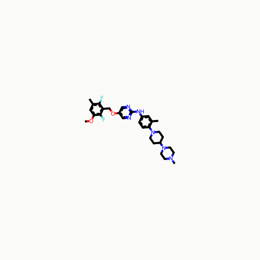 COc1cc(C)c(F)c(COc2cnc(Nc3ccc(N4CCC(N5CCN(C)CC5)CC4)c(C)c3)nc2)c1F